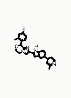 Cc1cc(-c2ccc3[nH]c(-c4cn5c(n4)C(c4ccc(F)cc4C)OCC5)cc3c2)ccn1